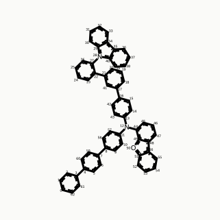 c1ccc(-c2ccc(-c3ccc(N(c4ccc(-c5cccc(-c6ccccc6-n6c7ccccc7c7ccccc76)c5)cc4)c4cccc5c4oc4ccccc45)cc3)cc2)cc1